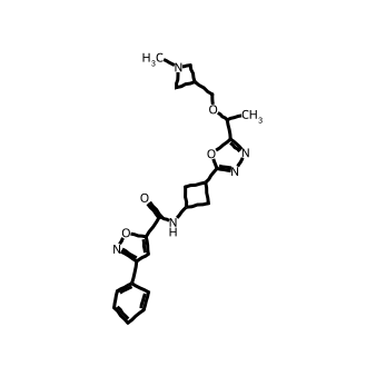 CC(OCC1CN(C)C1)c1nnc(C2CC(NC(=O)c3cc(-c4ccccc4)no3)C2)o1